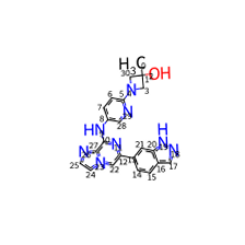 CC1(O)CN(c2ccc(Nc3nc(-c4ccc5cn[nH]c5c4)cn4ccnc34)cn2)C1